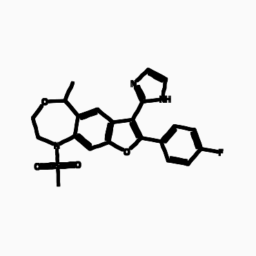 CC1OCCN(S(C)(=O)=O)c2cc3oc(-c4ccc(F)cc4)c(-c4ncc[nH]4)c3cc21